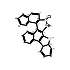 ClP1Nc2c3c(c4ccccc4c2-c2c1ccc1ccccc21)C1C=CC=CC1O3